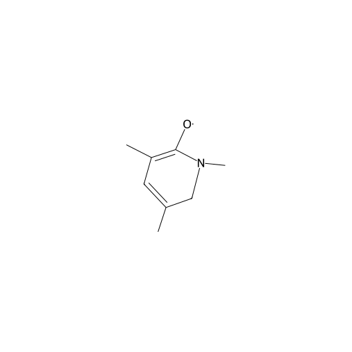 CC1=CC(C)=C([O])N(C)C1